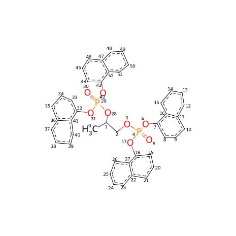 CC(COP(=O)(Oc1cccc2ccccc12)Oc1cccc2ccccc12)OP(=O)(Oc1cccc2ccccc12)Oc1cccc2ccccc12